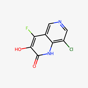 O=c1[nH]c2c(Cl)cncc2c(F)c1O